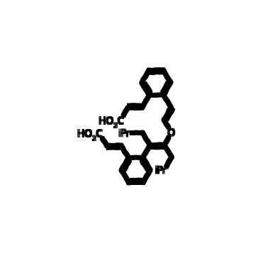 CC(C)CC(OC=Cc1ccccc1C=CC(=O)O)=C(CC(C)C)c1ccccc1C=CC(=O)O